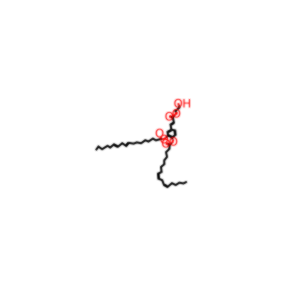 CCCCCC=CCC=CCCCCCCCC(=O)Oc1cc(/C=C/C(=O)OCCO)ccc1OC(=O)CCCCCCC/C=C\C/C=C\CCCCC